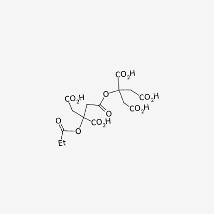 CCC(=O)OC(CC(=O)O)(CC(=O)OC(CC(=O)O)(CC(=O)O)C(=O)O)C(=O)O